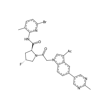 CC(=O)c1cn(CC(=O)N2C[C@H](F)C[C@H]2C(=O)Nc2nc(Br)ccc2C)c2ccc(-c3cnc(C)nc3)cc12